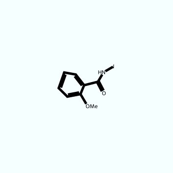 COc1ccccc1C(=O)NI